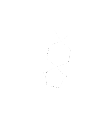 CC1(C)CCC2(CC1)OCCO2